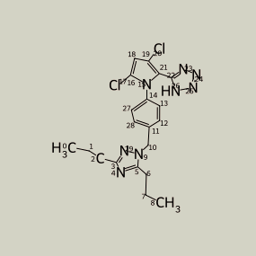 CCCc1nc(CCC)n(Cc2ccc(-n3c(Cl)cc(Cl)c3-c3nnn[nH]3)cc2)n1